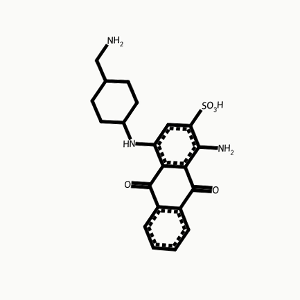 NCC1CCC(Nc2cc(S(=O)(=O)O)c(N)c3c2C(=O)c2ccccc2C3=O)CC1